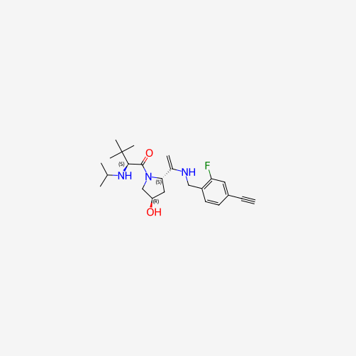 C#Cc1ccc(CNC(=C)[C@@H]2C[C@@H](O)CN2C(=O)[C@@H](NC(C)C)C(C)(C)C)c(F)c1